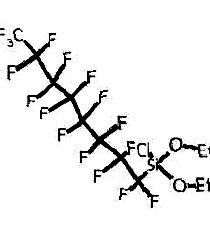 CCO[Si](Cl)(OCC)C(F)(F)C(F)(F)C(F)(F)C(F)(F)C(F)(F)C(F)(F)C(F)(F)C(F)(F)F